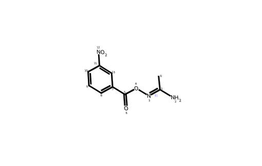 C/C(N)=N\OC(=O)c1cccc([N+](=O)[O-])c1